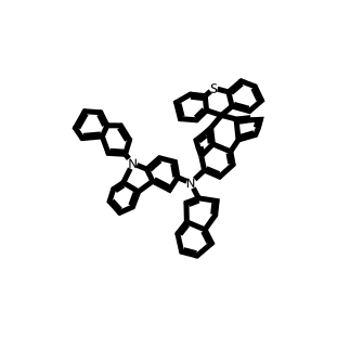 c1ccc2c(c1)Sc1ccccc1C21c2ccccc2-c2ccc(N(c3ccc4ccccc4c3)c3ccc4c(c3)c3ccccc3n4-c3ccc4ccccc4c3)c3cccc1c23